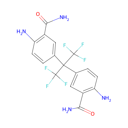 NC(=O)c1cc(C(c2ccc(N)c(C(N)=O)c2)(C(F)(F)F)C(F)(F)F)ccc1N